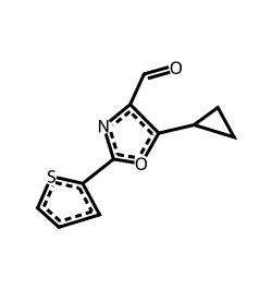 O=Cc1nc(-c2cccs2)oc1C1CC1